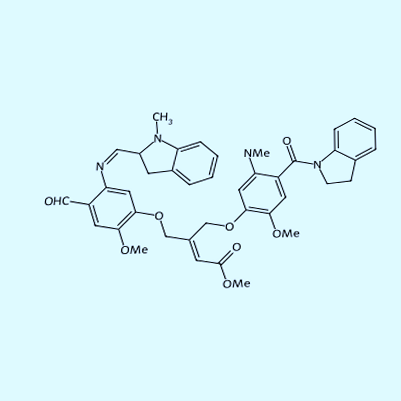 CNc1cc(OC/C(=C\C(=O)OC)COc2cc(/N=C\C3Cc4ccccc4N3C)c(C=O)cc2OC)c(OC)cc1C(=O)N1CCc2ccccc21